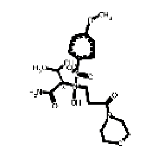 COc1ccc(S(=O)(=O)[N+](O)(CCC(=O)N2CCOCC2)[C@@H](C(N)=O)C(C)C)cc1